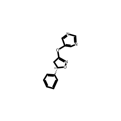 c1ccc([C@@H]2CC(Oc3cncnc3)=NO2)cc1